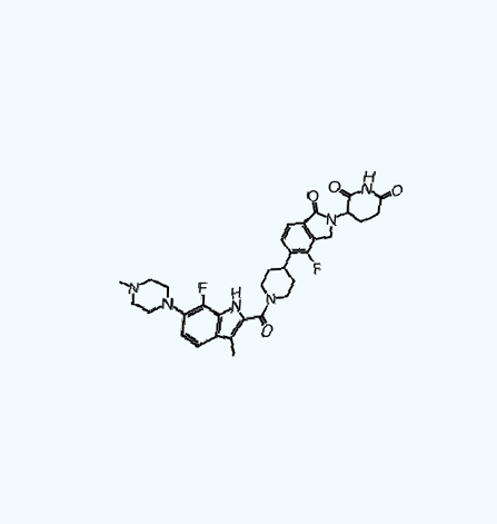 Cc1c(C(=O)N2CCC(c3ccc4c(c3F)CN(C3CCC(=O)NC3=O)C4=O)CC2)[nH]c2c(F)c(N3CCN(C)CC3)ccc12